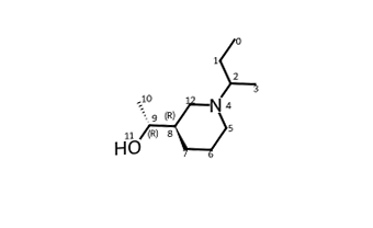 CCC(C)N1CCC[C@@H]([C@@H](C)O)C1